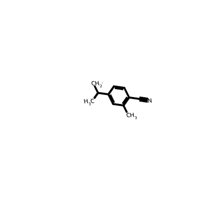 [CH2]C(C)c1ccc(C#N)c(C)c1